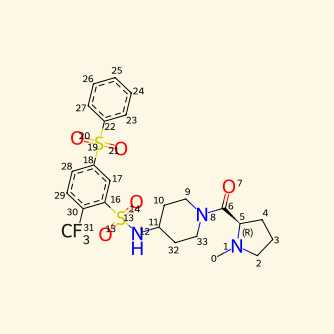 CN1CCC[C@@H]1C(=O)N1CCC(NS(=O)(=O)c2cc(S(=O)(=O)c3ccccc3)ccc2C(F)(F)F)CC1